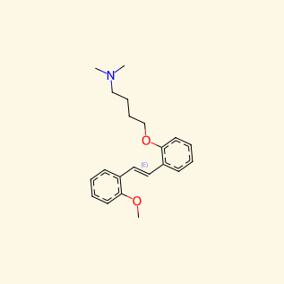 COc1ccccc1/C=C/c1ccccc1OCCCCN(C)C